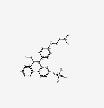 CCC(=C(c1ccccc1)c1ccc(OCCN(C)C)cc1)c1ccccc1.NS(=O)(=O)O